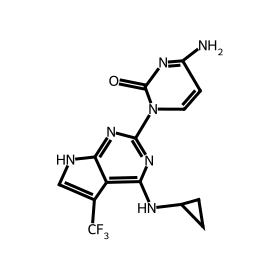 Nc1ccn(-c2nc(NC3CC3)c3c(C(F)(F)F)c[nH]c3n2)c(=O)n1